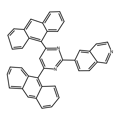 c1ccc2c(-c3cc(-c4c5ccccc5cc5ccccc45)nc(-c4ccc5cnccc5c4)n3)c3ccccc3cc2c1